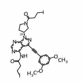 COc1cc(C#Cc2nn([C@H]3CCN(C(=O)CCI)C3)c3ncnc(NC(=O)CCI)c23)cc(OC)c1